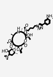 C=CC[C@H]1C(=O)O[C@H](CC)[C@@](C)(O)[C@H](N(C=O)CCCCn2cc(-c3cccc(N)c3)nn2)[C@@H](C)NC[C@H](C)C[C@@](C)(OC)[C@H](O[C@@H]2O[C@H](C)CC(N(C)C)C2O)[C@@H](C)C1=O